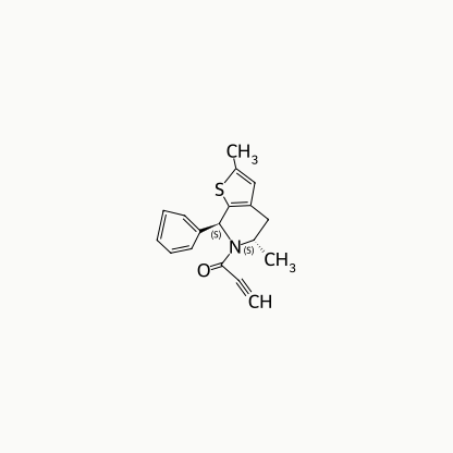 C#CC(=O)N1[C@@H](c2ccccc2)c2sc(C)cc2C[C@@H]1C